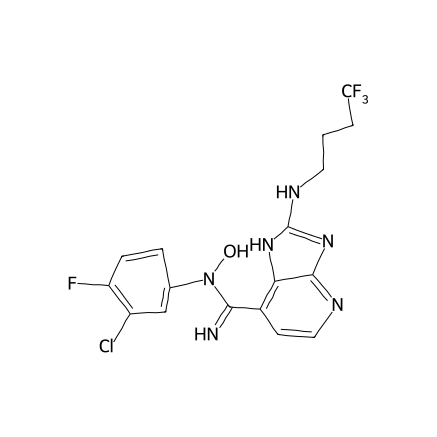 N=C(c1ccnc2nc(NCCCC(F)(F)F)[nH]c12)N(O)c1ccc(F)c(Cl)c1